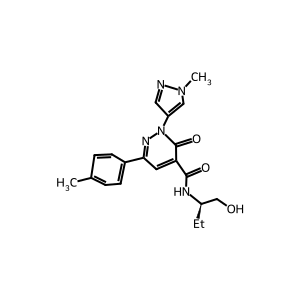 CC[C@H](CO)NC(=O)c1cc(-c2ccc(C)cc2)nn(-c2cnn(C)c2)c1=O